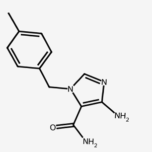 Cc1ccc(Cn2cnc(N)c2C(N)=O)cc1